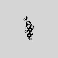 C=CC(=O)N1CCN2c3ncnc4cc(-c5ccc(N)cc5C)c(Cl)c(c34)OC[C@@H]2C1